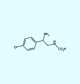 NC(CNC(=O)O)c1ccc(Cl)cc1